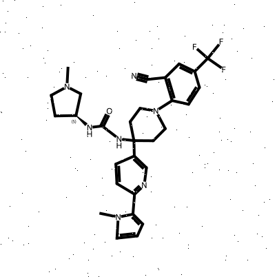 CN1CC[C@H](NC(=O)NC2(c3ccc(-c4cccn4C)nc3)CCN(c3ccc(C(F)(F)F)cc3C#N)CC2)C1